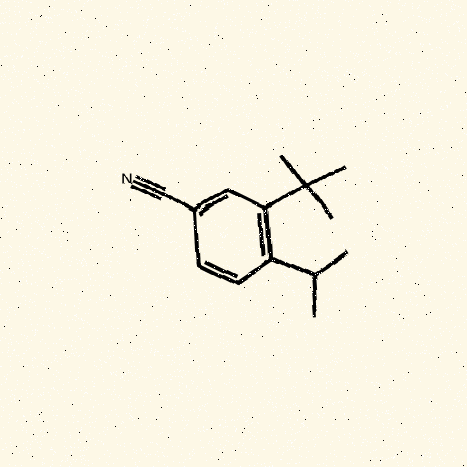 CC(C)c1ccc(C#N)cc1C(C)(C)C